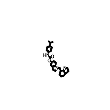 CC(C)c1ccc(NC(=O)Oc2ccc3c(c2)CCN3Cc2cccc3cccnc23)cc1